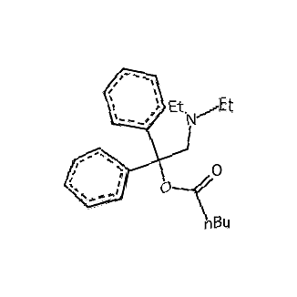 CCCCC(=O)OC(CN(CC)CC)(c1ccccc1)c1ccccc1